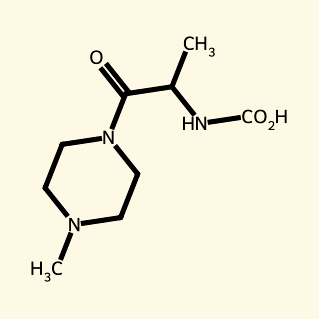 CC(NC(=O)O)C(=O)N1CCN(C)CC1